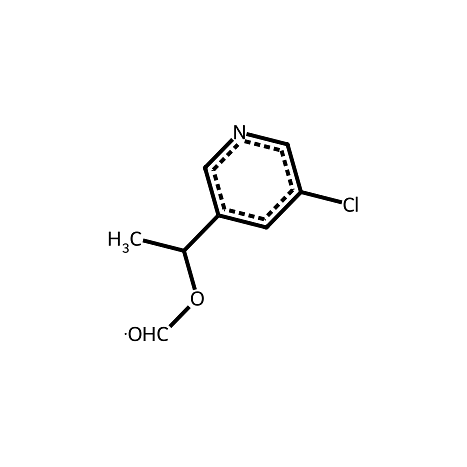 CC(O[C]=O)c1cncc(Cl)c1